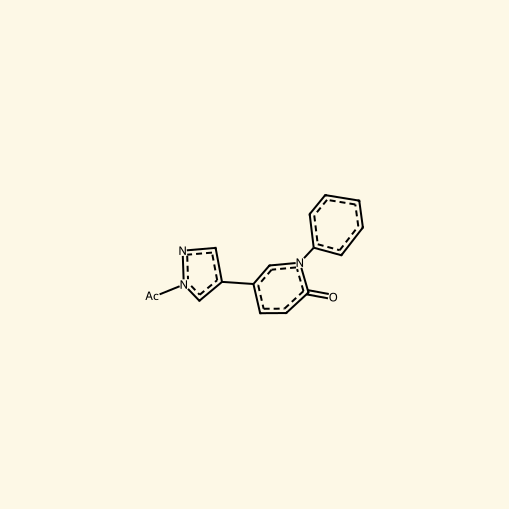 CC(=O)n1cc(-c2ccc(=O)n(-c3ccccc3)c2)cn1